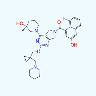 C[C@@]1(O)CCCN(c2nc(OCC3(CN4CCCCC4)CC3)nc3c2CN(C(=O)c2cc(O)cc4cccc(I)c24)C3)C1